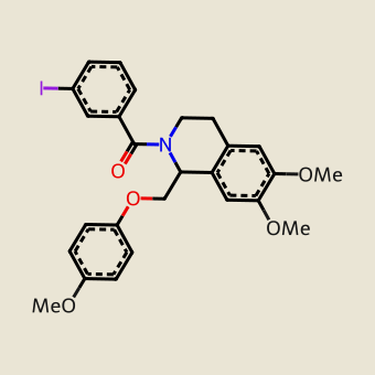 COc1ccc(OCC2c3cc(OC)c(OC)cc3CCN2C(=O)c2cccc(I)c2)cc1